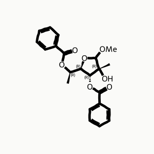 COC1O[C@H]([C@@H](C)OC(=O)c2ccccc2)[C@@H](OC(=O)c2ccccc2)[C@@]1(C)O